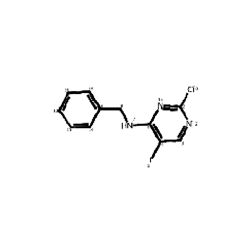 Clc1ncc(I)c(NCc2ccccc2)n1